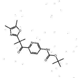 Cc1nc(C(C)(C)C(=O)c2ccc(NC(=O)OC(C)(C)C)cn2)oc1C